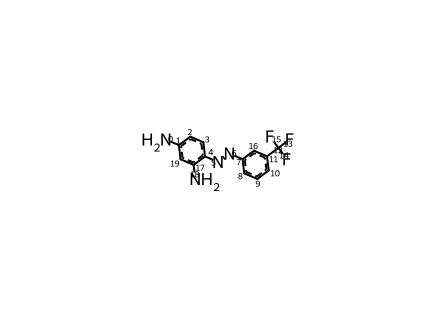 Nc1ccc(/N=N/c2cccc(C(F)(F)F)c2)c(N)c1